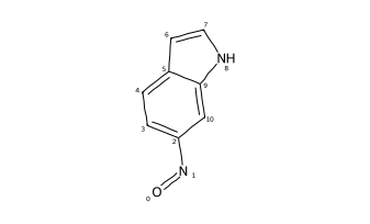 O=Nc1ccc2cc[nH]c2c1